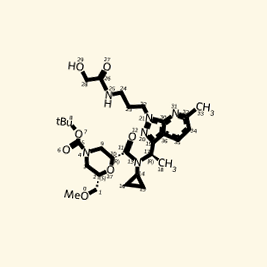 COC[C@@H]1CN(C(=O)OC(C)(C)C)C[C@H](C(=O)N(C2CC2)[C@H](C)c2nn(CCCNC(=O)CO)c3nc(C)ccc23)O1